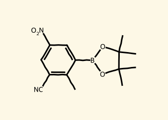 Cc1c(C#N)cc([N+](=O)[O-])cc1B1OC(C)(C)C(C)(C)O1